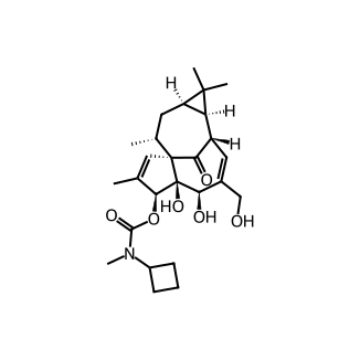 CC1=C[C@]23C(=O)[C@@H](C=C(CO)[C@@H](O)[C@]2(O)[C@H]1OC(=O)N(C)C1CCC1)[C@H]1[C@@H](C[C@H]3C)C1(C)C